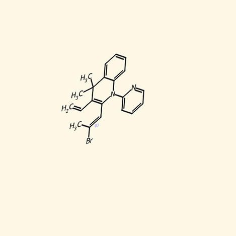 C=CC1=C(/C=C(\C)Br)N(c2ccccn2)c2ccccc2C1(C)C